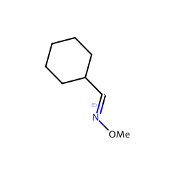 CO/N=[C]/C1CCCCC1